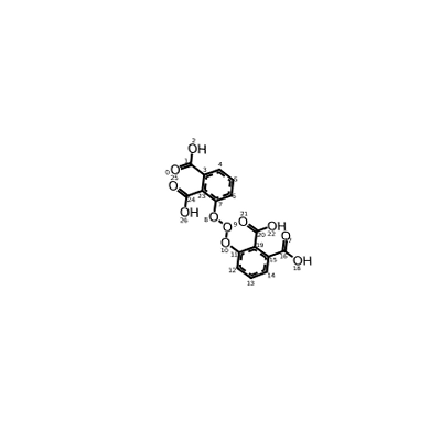 O=C(O)c1cccc(OOOc2cccc(C(=O)O)c2C(=O)O)c1C(=O)O